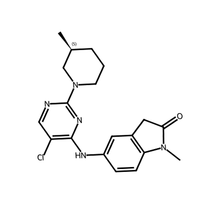 C[C@H]1CCCN(c2ncc(Cl)c(Nc3ccc4c(c3)CC(=O)N4C)n2)C1